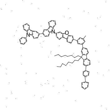 CCCCCCCCC1(CCCCCCCC)c2cc(-c3ccc(-c4ccccc4)cc3)ccc2-c2ccc(-c3cc(C)cc(-c4ccc5c(c4)oc4cc(-n6c7ccccc7c7cc(-c8ccc9c(c8)c8ccccc8n9-c8ccccc8)ccc76)ccc45)c3)cc21